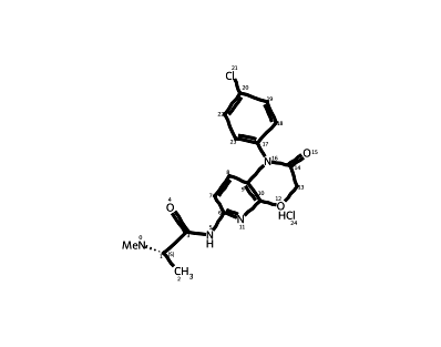 CN[C@@H](C)C(=O)Nc1ccc2c(n1)OCC(=O)N2c1ccc(Cl)cc1.Cl